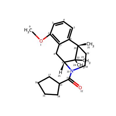 COc1cccc2c1C[C@H]1N(C(=O)C3CCCC3)CC[C@]2(C)C1(C)C